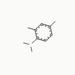 CCc1ccc(N(C)C)c(C)c1